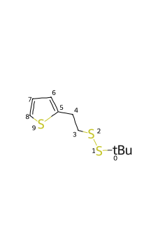 CC(C)(C)SSCCc1cccs1